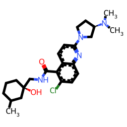 CC1CCC[C@](O)(CNC(=O)c2c(Cl)ccc3nc(N4CC[C@@H](N(C)C)C4)ccc23)C1